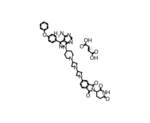 Nc1ncnc2c1c(-c1ccc(Oc3ccccc3)cc1)nn2C1CCN(C2CN(C3CN(c4ccc5c(c4)C(=O)N(C4CCC(=O)NC4=O)C5=O)C3)C2)CC1.O=C(O)/C=C/C(=O)O